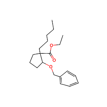 CCCCCC1(C(=O)OCC)CCCC1OCc1ccccc1